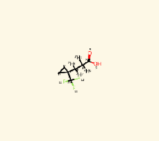 [2H]C([2H])(C(=O)O)C([2H])([2H])C1(C(F)(F)F)CC1